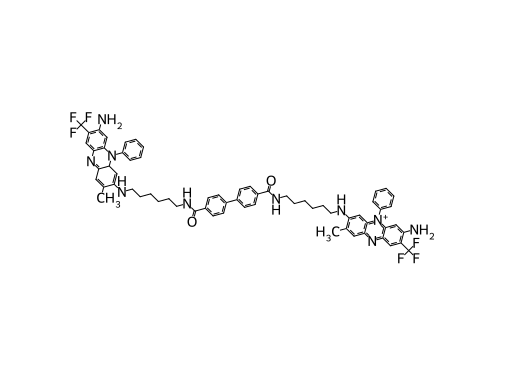 CC1=CC2=Nc3cc(C(F)(F)F)c(N)cc3N(c3ccccc3)C2C=C1NCCCCCCNC(=O)c1ccc(-c2ccc(C(=O)NCCCCCCNc3cc4c(cc3C)nc3cc(C(F)(F)F)c(N)cc3[n+]4-c3ccccc3)cc2)cc1